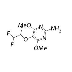 COc1nc(N)nc(OC)c1OC(F)C(F)F